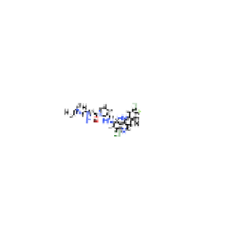 CN(C)CCNCC(=O)N1CCCC(CNc2cc(Cl)c3ncc(C#N)c(Nc4ccc(F)c(Cl)c4)c3c2)C1